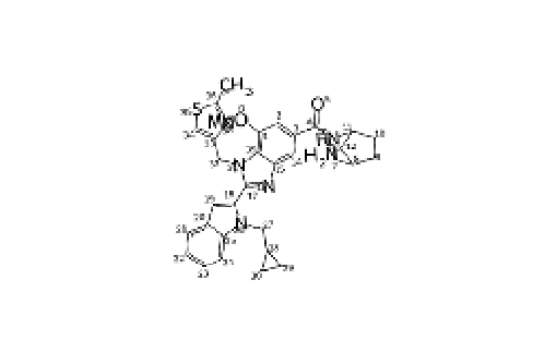 COc1cc(C(=O)N2CC3CCC2[C@@H]3N)cc2nc(-c3cc4ccccc4n3CC3CC3)n(Cc3csc(C)n3)c12